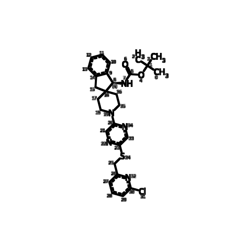 CC(C)(C)OC(=O)N[C@@H]1c2ccccc2CC12CCN(c1cnc(SCc3cccc(Cl)n3)cn1)CC2